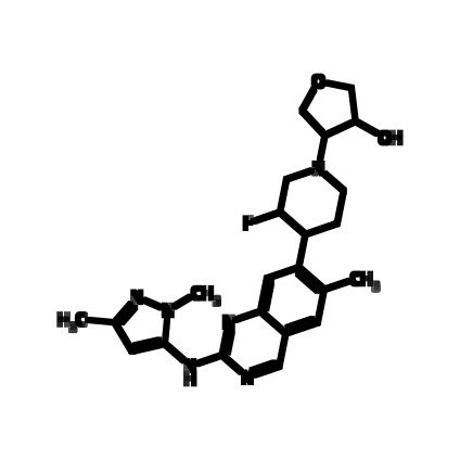 Cc1cc(Nc2ncc3cc(C)c(C4CCN(C5COCC5O)CC4F)cc3n2)n(C)n1